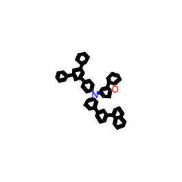 c1ccc(-c2cc(-c3ccccc3)cc(-c3ccc(N(c4cccc(-c5cccc(-c6cccc7ccccc67)c5)c4)c4ccc5oc6ccccc6c5c4)cc3)c2)cc1